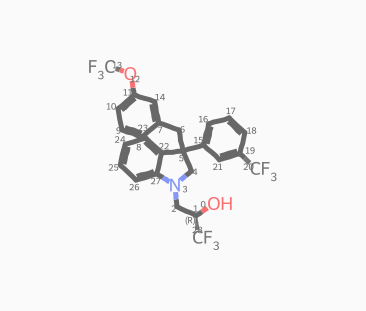 O[C@H](CN1CC(Cc2cccc(OC(F)(F)F)c2)(c2cccc(C(F)(F)F)c2)c2ccccc21)C(F)(F)F